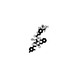 Cc1ccc(C2CN(C(=O)[C@@H]3Cc4ccccc4CN3C(=O)[C@@H](NC(=O)c3cc4cc(C(F)(F)P(=O)(O)O)ccc4s3)C(C)(C)C)CCO2)c(C)c1